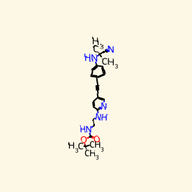 CC(C)(C#N)Nc1ccc(C#Cc2ccc(NCCNC(=O)OC(C)(C)C)nc2)cc1